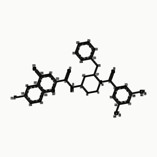 O=C(NC1CCN(C(=O)c2cc(C(F)(F)F)cc(C(F)(F)F)c2)C(Cc2ccccc2)C1)c1cc(=O)c2cc(F)ccc2o1